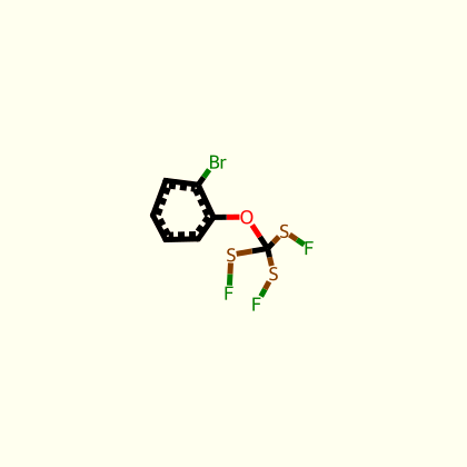 FSC(Oc1ccccc1Br)(SF)SF